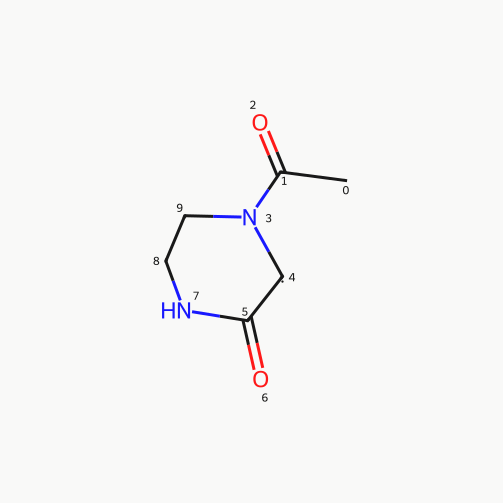 CC(=O)N1[CH]C(=O)NCC1